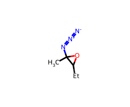 CCC1OC1(C)N=[N+]=[N-]